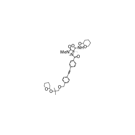 CNC(=O)[C@@](C)(C(=O)NOC1CCCCO1)N(C)C(=O)c1ccc(C#Cc2ccc(COCC(C)(C)OC3CCCCO3)cc2)cc1